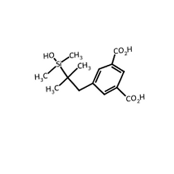 CC(C)(Cc1cc(C(=O)O)cc(C(=O)O)c1)[Si](C)(C)O